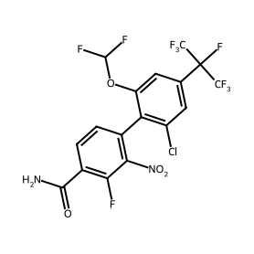 NC(=O)c1ccc(-c2c(Cl)cc(C(F)(C(F)(F)F)C(F)(F)F)cc2OC(F)F)c([N+](=O)[O-])c1F